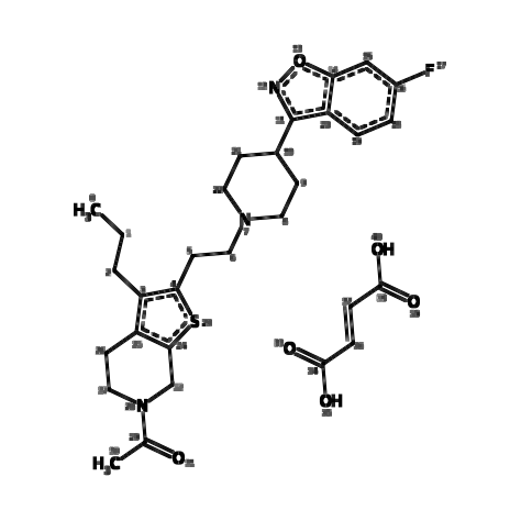 CCCc1c(CCN2CCC(c3noc4cc(F)ccc34)CC2)sc2c1CCN(C(C)=O)C2.O=C(O)C=CC(=O)O